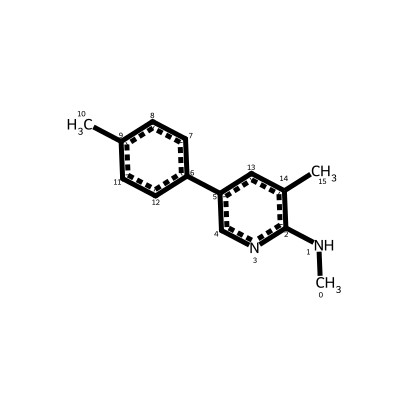 CNc1ncc(-c2ccc(C)cc2)cc1C